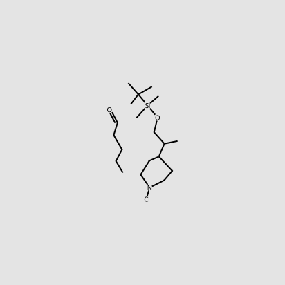 CC(CO[Si](C)(C)C(C)(C)C)C1CCN(Cl)CC1.CCCCC=O